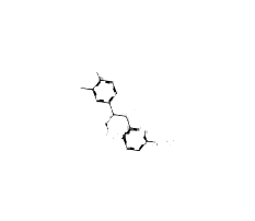 CNCC(c1ccc(Cl)c(Cl)c1)[C@H](O)c1cccc(OC)n1